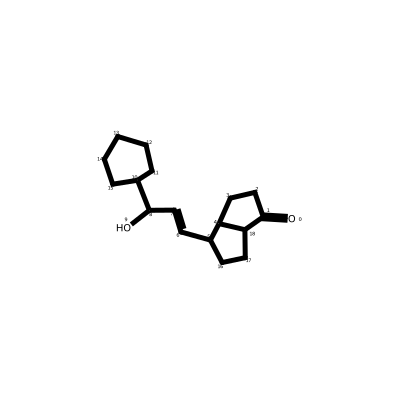 O=C1CCC2C(C=CC(O)C3CCCCC3)CCC12